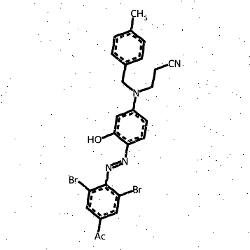 CC(=O)c1cc(Br)c(N=Nc2ccc(N(CCC#N)Cc3ccc(C)cc3)cc2O)c(Br)c1